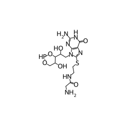 NCC(=O)NCCSc1nc2c(=O)[nH]c(N)nc2n1CC(O)C1OPOCC1O